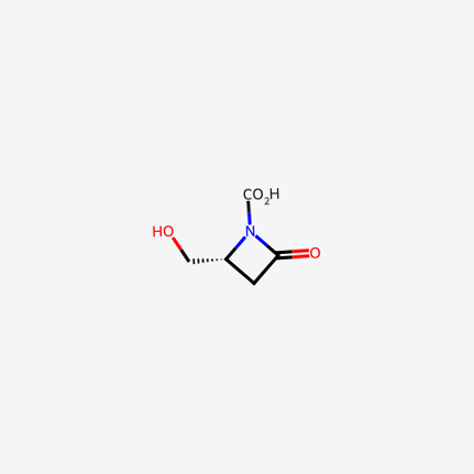 O=C(O)N1C(=O)C[C@@H]1CO